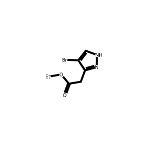 CCOC(=O)Cc1n[nH]cc1Br